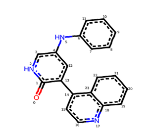 O=c1[nH]cc(Nc2ccccc2)cc1-c1ccnc2ccccc12